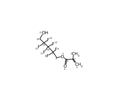 C=C(C)C(=O)OCC(F)(F)C(F)(F)C(F)(F)CO